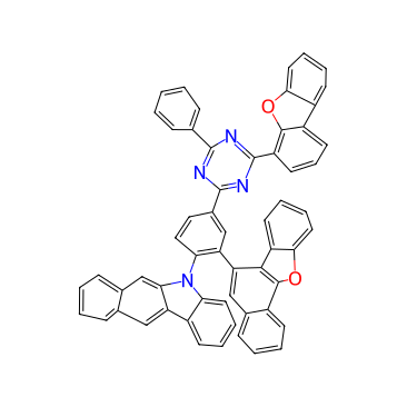 c1ccc(-c2nc(-c3ccc(-n4c5ccccc5c5cc6ccccc6cc54)c(-c4cc5ccccc5c5oc6ccccc6c45)c3)nc(-c3cccc4c3oc3ccccc34)n2)cc1